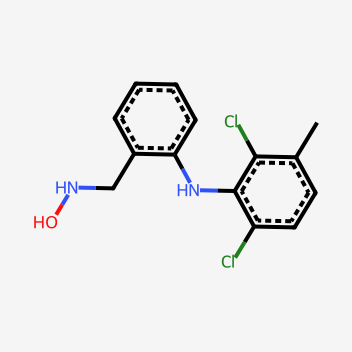 Cc1ccc(Cl)c(Nc2ccccc2CNO)c1Cl